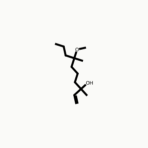 C=CC(C)(O)CCCC(C)(CCC)OC